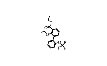 CCOC(=O)c1cccc(-c2ccccc2OC(F)(F)F)c1OCC